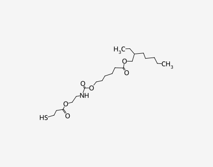 CCCCCC(CC)COC(=O)CCCCCOC(=O)NCCOC(=O)CCS